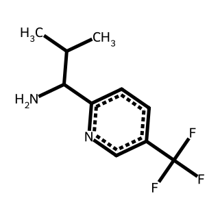 CC(C)C(N)c1ccc(C(F)(F)F)cn1